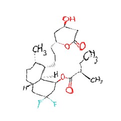 CC[C@@H](C)C(=O)O[C@H]1CC(F)(F)C[C@@H]2CC[C@H](C)[C@H](CC[C@@H]3C[C@@H](O)CC(=O)O3)[C@H]21